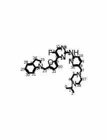 CC(C)N1CCN(Cc2ccc(Nc3ncc(F)c(-c4ccc(CN5CCc6ccccc65)o4)n3)nc2)CC1